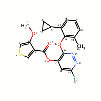 COc1cscc1C(=O)Oc1cc(Cl)nnc1Oc1c(C)cccc1C1CC1